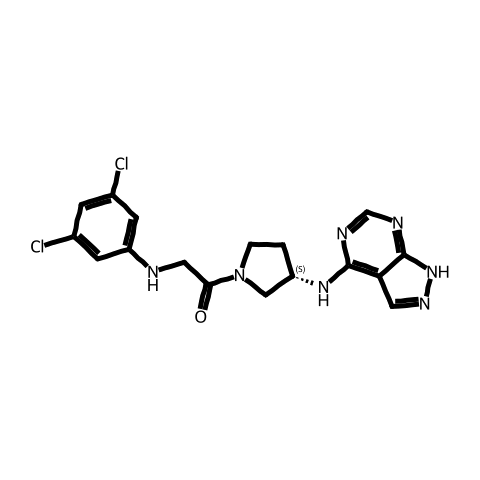 O=C(CNc1cc(Cl)cc(Cl)c1)N1CC[C@H](Nc2ncnc3[nH]ncc23)C1